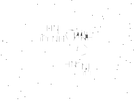 CC(C)NC(=N)c1ccc2[nH]c3ccc(C(=N)NC(C)C)cc3c2c1.Cl.Cl